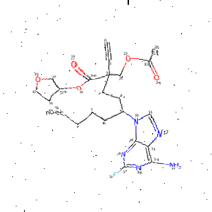 C#CC(CCC(CCCCCCCCCCCCC)n1cnc2c(N)nc(F)nc21)(COC(=O)CC)C(=O)OC1CCOC1